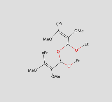 CCCC(OC)=C(OC)C(OCC)OC(OCC)C(OC)=C(CCC)OC